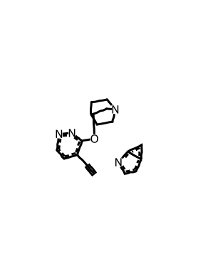 C#Cc1ccnnc1OC1CN2CCC1CC2.c1cc2cc-2n1